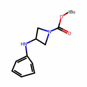 CC(C)(C)OC(=O)N1CC(Nc2ccccc2)C1